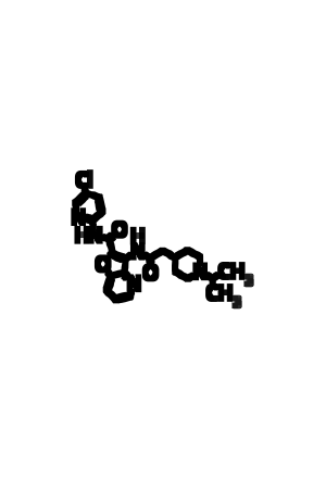 CC(C)N1CCC(CC(=O)Nc2c(C(=O)Nc3ccc(Cl)cn3)oc3cccnc23)CC1